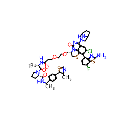 Cc1ncsc1-c1ccc([C@H](C)NC(=O)[C@@H]2CCCN2C(=O)[C@@H](NC(=O)CCOCCOC[C@H]2CSc3c(-c4ccc(F)c5sc(N)nc45)c(Cl)cc4c(N5CC6CCC(C5)N6)nc(=O)n2c34)C(C)(C)C)cc1